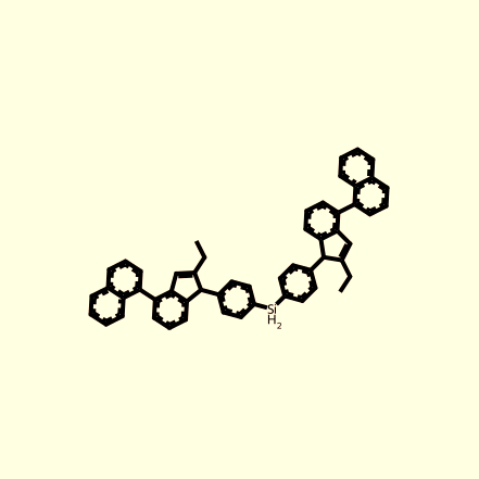 CCC1=Cc2c(-c3cccc4ccccc34)cccc2C1c1ccc([SiH2]c2ccc(C3C(CC)=Cc4c(-c5cccc6ccccc56)cccc43)cc2)cc1